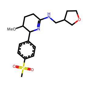 COC1CCC(NCC2CCOC2)=NC1c1ccc(S(C)(=O)=O)cc1